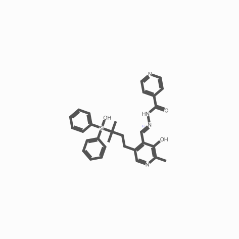 Cc1ncc(CCC(C)(C)[Si](O)(c2ccccc2)c2ccccc2)c(/C=N/NC(=O)c2ccncc2)c1O